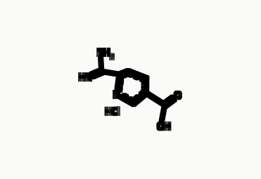 Cl.N=C(N)c1ccc(C(=O)O)cn1